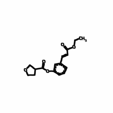 CCOC(=O)C=Cc1cccc(OC(=O)C2CCOC2)c1